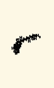 NCC(O)CNCCCCNc1cc(F)c(S(=O)(=O)Nc2nccs2)cc1Cl